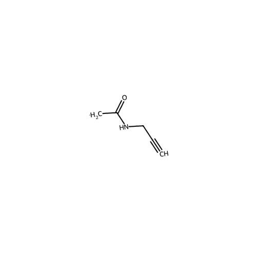 C#CCNC([CH2])=O